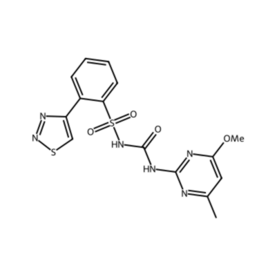 COc1cc(C)nc(NC(=O)NS(=O)(=O)c2ccccc2-c2csnn2)n1